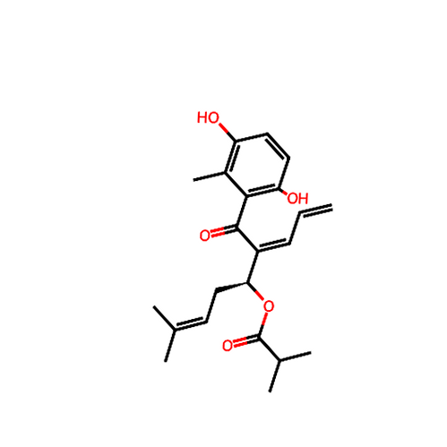 C=C/C=C(\C(=O)c1c(O)ccc(O)c1C)[C@H](CC=C(C)C)OC(=O)C(C)C